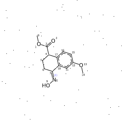 COC(=O)C1CC/C(=N\O)c2cc(OC)ccc21